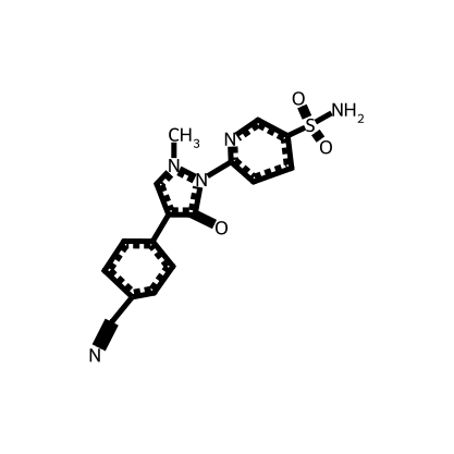 Cn1cc(-c2ccc(C#N)cc2)c(=O)n1-c1ccc(S(N)(=O)=O)cn1